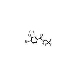 COc1cc(C(=O)NCC(F)(F)F)ccc1Br